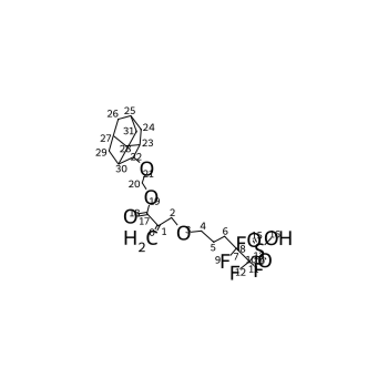 C=C(COCCCC(F)(F)C(F)(F)S(=O)(=O)O)C(=O)OCOC1C2CC3CC(C2)CC1C3